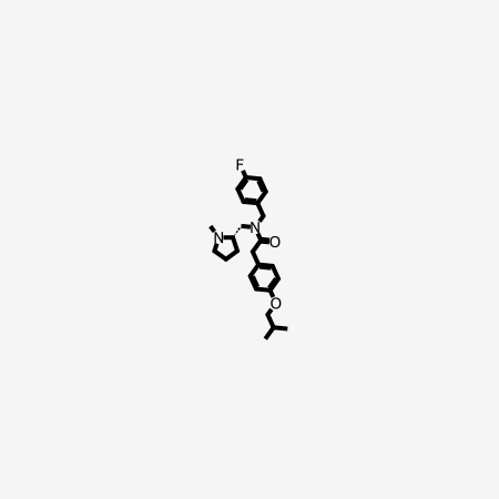 CC(C)COc1ccc(CC(=O)N(Cc2ccc(F)cc2)C[C@@H]2CCCN2C)cc1